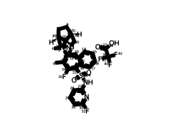 Cc1c(N(C)[C@@H]2[C@@H]3CC[C@H]2CN(Cc2ccccc2)C3)cnc(S(=O)(=O)Nc2cccc(F)n2)c1F.O=C(O)C(F)(F)F